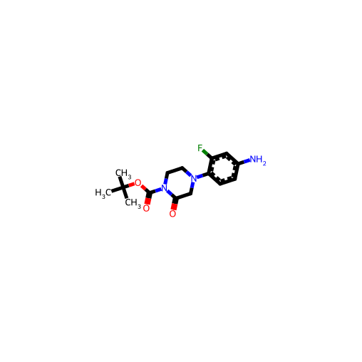 CC(C)(C)OC(=O)N1CCN(c2ccc(N)cc2F)CC1=O